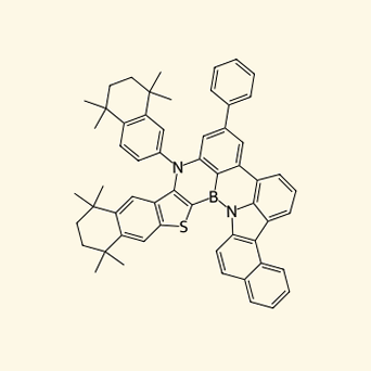 CC1(C)CCC(C)(C)c2cc(N3c4cc(-c5ccccc5)cc5c4B(c4sc6cc7c(cc6c43)C(C)(C)CCC7(C)C)n3c4ccc6ccccc6c4c4cccc-5c43)ccc21